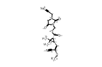 C#CCN1CC(=O)N(COC(=O)[C@@H]2[C@@H](/C=C(\C#N)OC)C2(C)C)C1=O